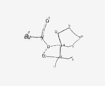 CCC(C)C(=O)OC1(C(C)(C)CC)CCCC1